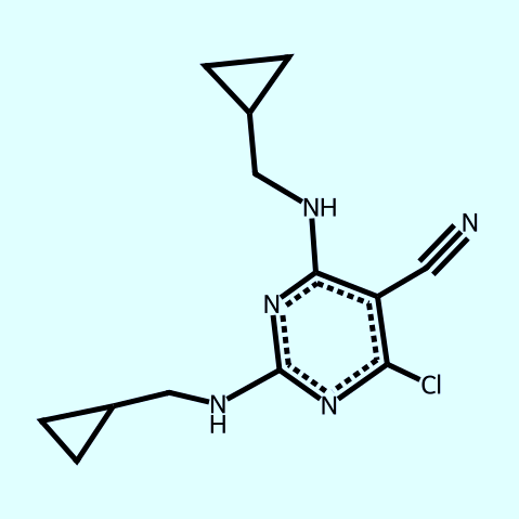 N#Cc1c(Cl)nc(NCC2CC2)nc1NCC1CC1